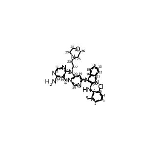 Cc1cccc(Cl)c1Nc1nc2ccccc2n1-c1cc(N(CCN2CCOCC2)c2ncnc(N)c2C)ncn1